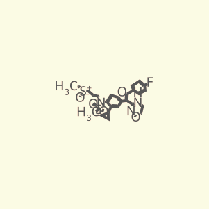 CC[S+]([O-])CCCN(c1cc2oc(-c3ccc(F)cc3)c(C3=NOCCN3)c2cc1C1CC1)S(C)(=O)=O